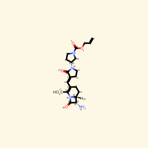 C=CCOC(=O)N1CC[C@@H](N2CCC(=CC3=C(C(=O)O)N4C(=O)[C@@H](N)[C@H]4CC3)C2=O)C1